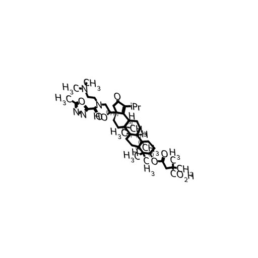 Cc1nnc(C(=O)N(CCN(C)C)C[C@H](O)[C@@]23CC[C@]4(C)[C@H](CC[C@@H]5[C@@]6(C)CC[C@@H](OC(=O)CC(C)(C)C(=O)O)C(C)(C)[C@@H]6CC[C@]54C)C2=C(C(C)C)C(=O)C3)o1